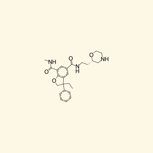 CCC1(c2ccccc2)COc2c(C(=O)NC)cc(C(=O)NCC[C@H]3CNCCO3)cc21